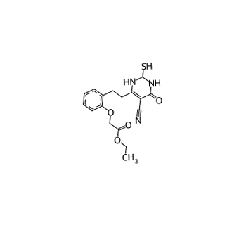 CCOC(=O)COc1ccccc1CCC1=C(C#N)C(=O)NC(S)N1